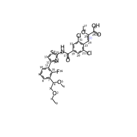 CCOCC(OC)c1cccc(-c2csc(NC(=O)c3cc(Cl)c(/C=C(\OC)C(=O)O)c(Cl)c3)n2)c1F